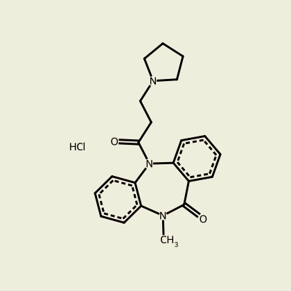 CN1C(=O)c2ccccc2N(C(=O)CCN2CCCC2)c2ccccc21.Cl